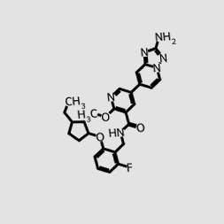 CCC1CCC(Oc2cccc(F)c2CNC(=O)c2cc(-c3ccn4nc(N)nc4c3)cnc2OC)C1